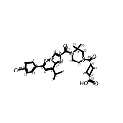 CC(C)c1cc(-c2ccc(Cl)cc2)nn2cc(C(=O)N3CCN(C(=O)[C@H]4C[C@@H](C(=O)O)C4)CC3(C)C)nc12